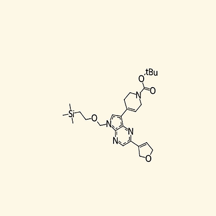 CC(C)(C)OC(=O)N1CC=C(c2cn(COCC[Si](C)(C)C)c3ncc(C4=CCOC4)nc23)CC1